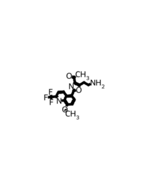 COc1ccc(-c2nc(C(C)=O)c(CCN)o2)c2ccc(C(F)(F)F)nc12